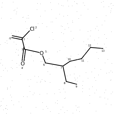 C=C(Cl)C(=O)OCC(CC)CCCC